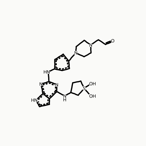 O=CCN1CCN(c2ccc(Nc3nc(NC4CCS(O)(O)C4)c4cc[nH]c4n3)cc2)CC1